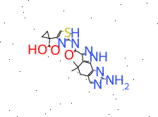 CC1(C)Cc2cnc(N)nc2-c2[nH]nc(C(=O)Nc3nc(C4(C(=O)O)CC4)cs3)c21